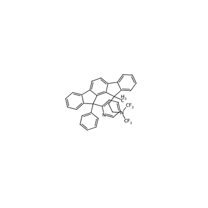 CC1(CCN(C(F)(F)F)C(F)(F)F)c2ccccc2-c2ccc3c(c21)C(c1ccccc1)(c1ccccn1)c1ccccc1-3